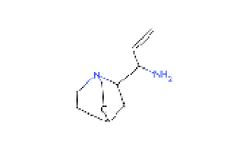 C=CC(N)C1CC2CCN1CC2